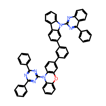 c1ccc(-c2nc(-c3ccccc3)nc(N3c4ccccc4Oc4cc(-c5cccc(-c6ccc7c8ccccc8n(-c8nc(-c9ccccc9)c9ccccc9n8)c7c6)c5)ccc43)n2)cc1